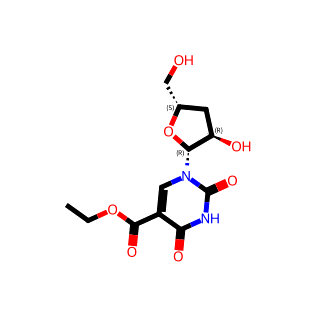 CCOC(=O)c1cn([C@@H]2O[C@H](CO)C[C@H]2O)c(=O)[nH]c1=O